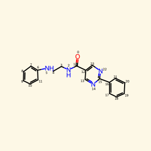 O=C(NCCNc1ccccc1)c1cnc(-c2ccccc2)nc1